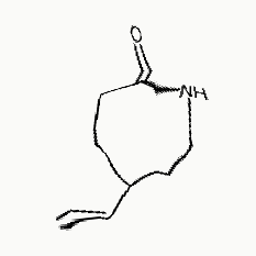 C=CC1CCNC(=O)CC1